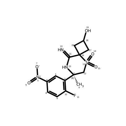 C[C@@]1(c2cc([N+](=O)[O-])ccc2F)CS(=O)(=O)C2(CC(O)C2)C(=N)N1